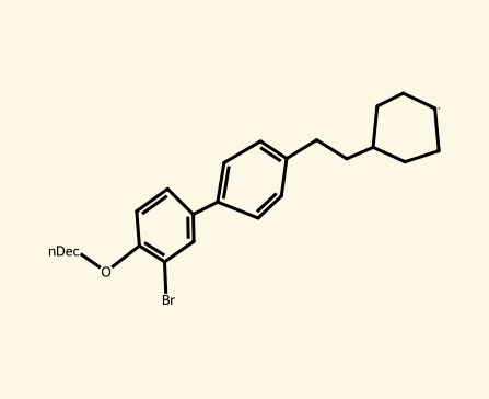 CCCCCCCCCCOc1ccc(-c2ccc(CCC3CC[CH]CC3)cc2)cc1Br